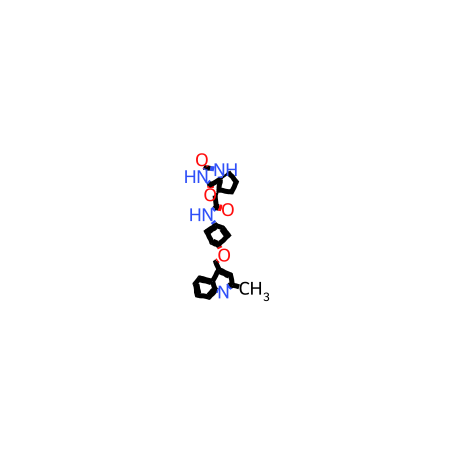 Cc1cc(COc2ccc(NC(=O)C[C@@H]3CCC[C@@]34NC(=O)NC4=O)cc2)c2ccccc2n1